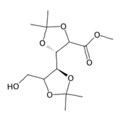 COC(=O)C1OC(C)(C)O[C@H]1[C@H]1OC(C)(C)OC1CO